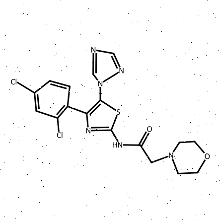 O=C(CN1C[CH]OCC1)Nc1nc(-c2ccc(Cl)cc2Cl)c(-n2cncn2)s1